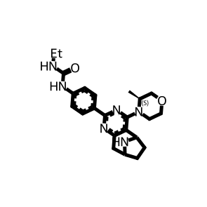 CCNC(=O)Nc1ccc(-c2nc3c(c(N4CCOC[C@@H]4C)n2)C2CCC(C3)N2)cc1